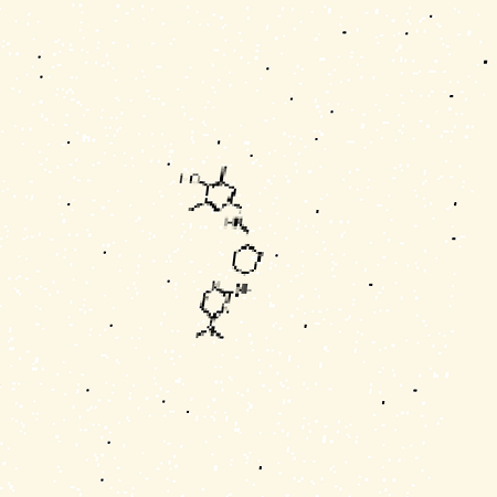 Cc1cc(CNC[C@H]2CC[C@@H](Nc3nccc(N(C)C)n3)CC2)cc(C)c1O